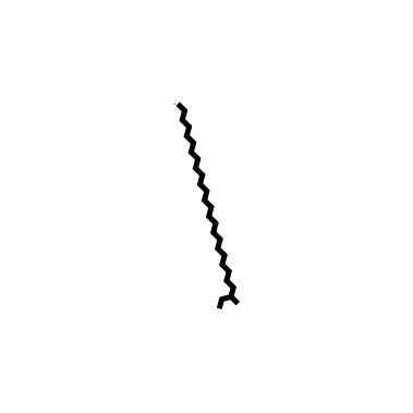 [CH2]CCCCCCCCCCCCCCCCCCCCCCCC(C)CC